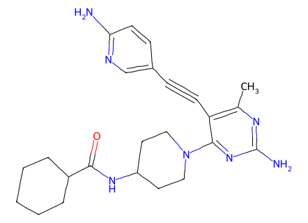 Cc1nc(N)nc(N2CCC(NC(=O)C3CCCCC3)CC2)c1C#Cc1ccc(N)nc1